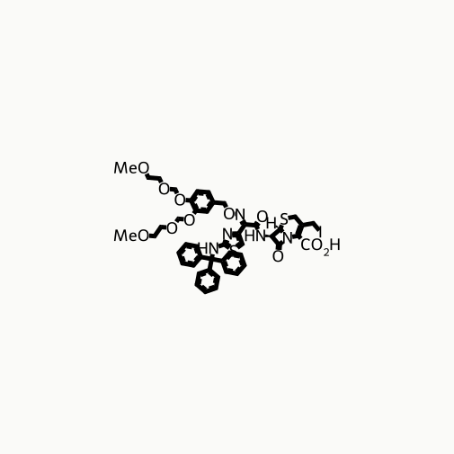 COCCOCOc1ccc(CO/N=C(/C(=O)N[C@@H]2C(=O)N3C(C(=O)O)=C(CI)CS[C@H]23)c2csc(NC(c3ccccc3)(c3ccccc3)c3ccccc3)n2)cc1OCOCCOC